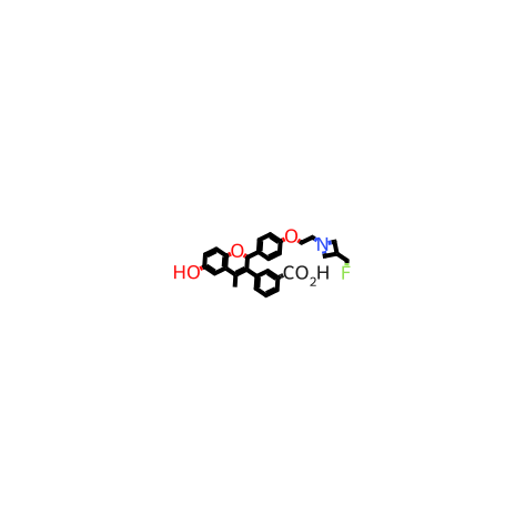 CC1=C(c2cccc(C(=O)O)c2)C(c2ccc(OCCN3CC(CF)C3)cc2)Oc2ccc(O)cc21